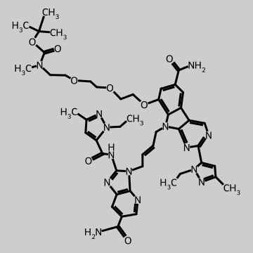 CCn1nc(C)cc1C(=O)Nc1nc2cc(C(N)=O)cnc2n1C/C=C/Cn1c2nc(-c3cc(C)nn3CC)ncc2c2cc(C(N)=O)cc(OCCOCCOCCN(C)C(=O)OC(C)(C)C)c21